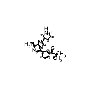 CN(C)C(=O)c1cccc(-c2cnc(N)c3nc(C4CCCNC4)cn23)c1